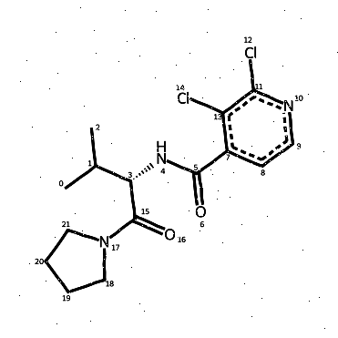 CC(C)[C@H](NC(=O)c1ccnc(Cl)c1Cl)C(=O)N1CCCC1